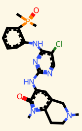 CN1CCc2c(cc(Nc3ncc(Cl)c(Nc4ccccc4P(C)(C)=O)n3)c(=O)n2C)C1